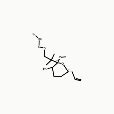 [3H]BSOCC(C)(C)[C@]1(OC)O[C@H](CC=C)CCC1O